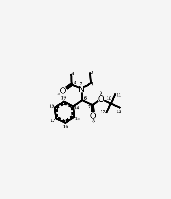 CCN(C(C)=O)C(C(=O)OC(C)(C)C)c1ccccc1